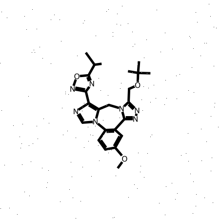 COc1ccc2c(c1)-c1nnc(COC(C)(C)C)n1Cc1c(-c3noc(C(C)C)n3)ncn1-2